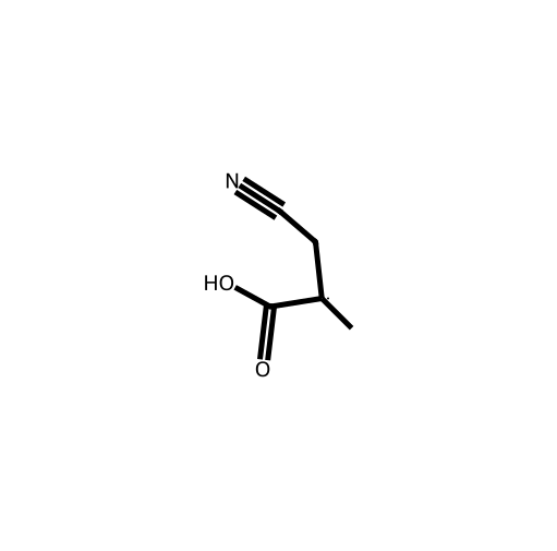 C[C](CC#N)C(=O)O